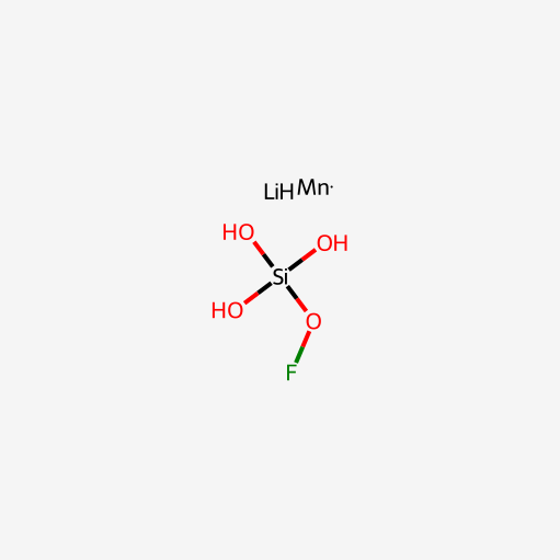 O[Si](O)(O)OF.[LiH].[Mn]